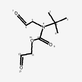 CC(C)(C)N(CC=O)C(=O)OCC=O